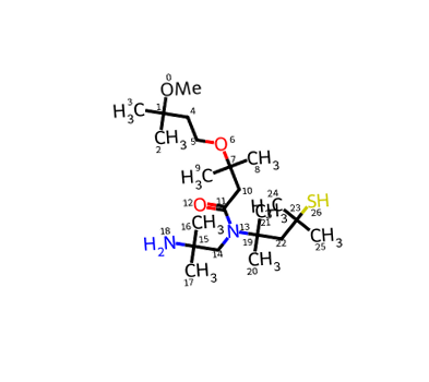 COC(C)(C)CCOC(C)(C)CC(=O)N(CC(C)(C)N)C(C)(C)CC(C)(C)S